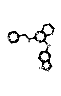 C1=CSc2c(nc(NCc3ccncc3)nc2Nc2ccc3[nH]ncc3c2)C1